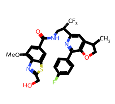 COc1cc(C(=O)NCC(c2cc3c(c(-c4ccc(F)cc4)n2)OCC3C)C(F)(F)F)cc2sc(CO)nc12